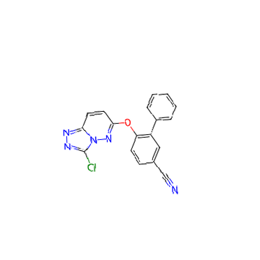 N#Cc1ccc(Oc2ccc3nnc(Cl)n3n2)c(-c2ccccc2)c1